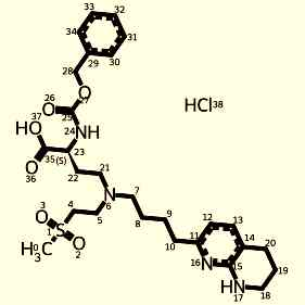 CS(=O)(=O)CCN(CCCCc1ccc2c(n1)NCCC2)CC[C@H](NC(=O)OCc1ccccc1)C(=O)O.Cl